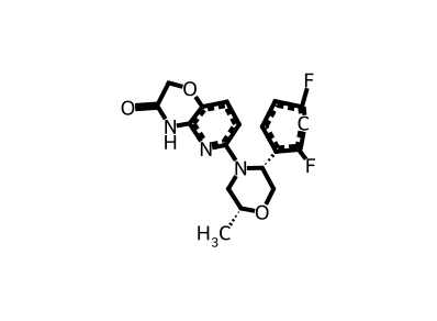 C[C@@H]1CN(c2ccc3c(n2)NC(=O)CO3)[C@H](c2ccc(F)cc2F)CO1